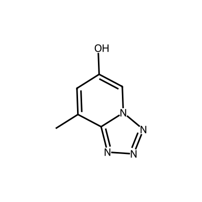 Cc1cc(O)cn2nnnc12